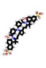 CC1(C)C(/C=C/C2=C(N(c3ccccc3)c3ccccc3)C(=C/C=C3\N(CCO)c4ccc5cc(S(=O)(=O)O)ccc5c4C3(C)C)/CC2)=[N+](CCO)c2ccc3cc(S(=O)(=O)O)ccc3c21